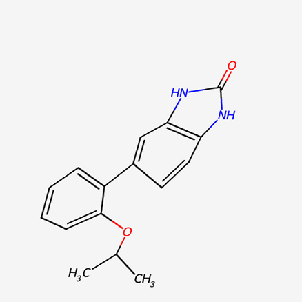 CC(C)Oc1ccccc1-c1ccc2[nH]c(=O)[nH]c2c1